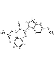 COc1ccc2c(C(=O)C(=O)N(CC(=O)O)c3ccccc3)c[nH]c2c1